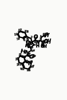 CC(C)CC(NC(=O)C1(Cc2ccccc2)CC(CNC(=O)c2cccc3cccnc23)=NO1)B(O)O